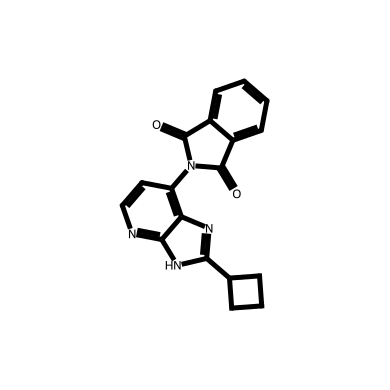 O=C1c2ccccc2C(=O)N1c1ccnc2[nH]c(C3CCC3)nc12